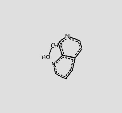 O=CO.c1cnc2cnccc2c1